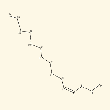 CCC/[C]=C\CCCCCCCCCC